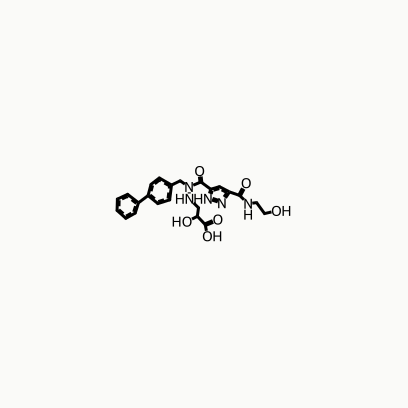 O=C(NCCO)c1cc(C(=O)N(Cc2ccc(-c3ccccc3)cc2)NCC(O)C(=O)O)[nH]n1